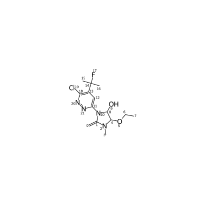 C=C1N(C)C(OCC)C(O)N1c1cc(C(C)(C)F)c(Cl)nn1